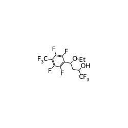 CCOC(CC(O)C(F)(F)F)c1c(F)c(F)c(C(F)(F)F)c(F)c1F